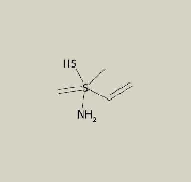 C=CS(=C)(C)(N)S